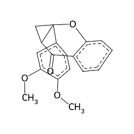 COc1ccc(C23CC2C(=O)c2ccccc2O3)cc1OC